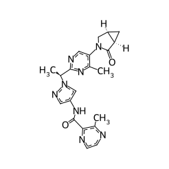 Cc1nc([C@H](C)n2cc(NC(=O)c3nccnc3C)cn2)ncc1N1C[C@H]2C[C@H]2C1=O